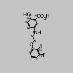 O=C(O)c1cc(NCCOc2cccc(F)c2F)ccc1O